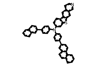 c1ccc2cc(-c3ccc(N(c4ccc(-c5ccc6c(ccc7ccccc76)c5)cc4)c4ccc5c(c4)sc4cc6cnccc6cc45)cc3)ccc2c1